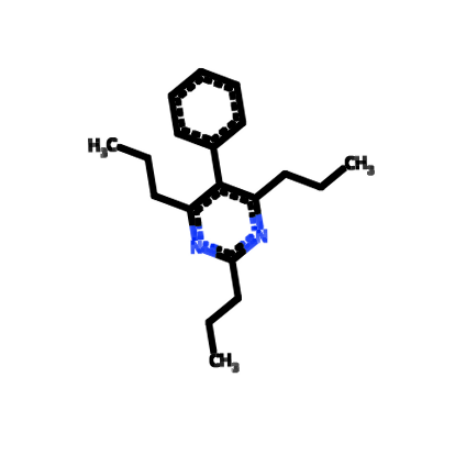 CCCc1nc(CCC)c(-c2ccccc2)c(CCC)n1